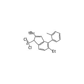 CCc1ccc2c(c1-c1ccccc1C)C=C(C(C)(C)C)[CH]2[Zr]([Cl])[Cl]